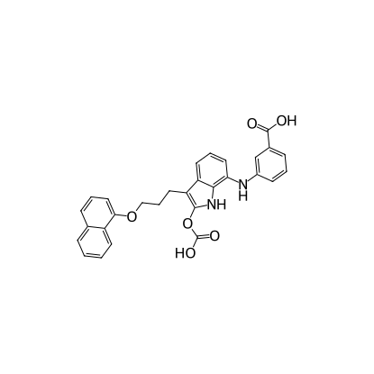 O=C(O)Oc1[nH]c2c(Nc3cccc(C(=O)O)c3)cccc2c1CCCOc1cccc2ccccc12